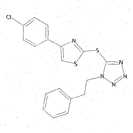 Clc1ccc(-c2csc(Sc3nnnn3CCc3ccccc3)n2)cc1